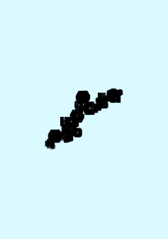 Cc1ccc(-c2ncc(CN3CC[C@@H](C(=O)N4CCC(O)(Cn5cnc6c(ccn6-c6cccc(N(C)C)c6)c5=O)CC4)[C@H](c4ccccc4)C3)s2)cn1